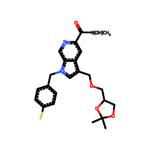 CN(O)C(=O)c1cc2c(COCC3COC(C)(C)O3)cn(Cc3ccc(F)cc3)c2cn1